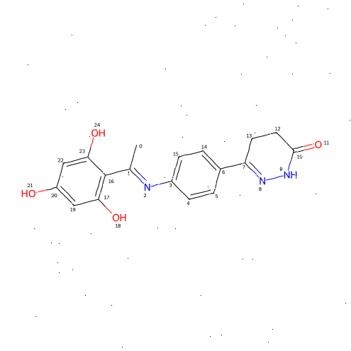 CC(=Nc1ccc(C2=NNC(=O)CC2)cc1)c1c(O)cc(O)cc1O